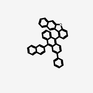 c1ccc(-c2ccc3c(-c4cccc5oc6cc7ccccc7cc6c45)c4ccccc4c(-c4ccc5ccccc5c4)c3c2)cc1